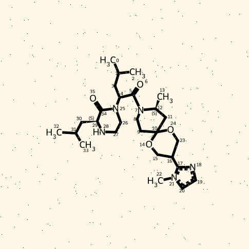 CC(C)CC(C(=O)N1CCC2(C[C@@H]1C)OCC(c1nccn1C)CO2)N1CCN[C@@H](CC(C)C)C1=O